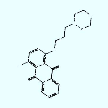 O=C1c2ccccc2C(=O)c2c(OCCCN3CCOCC3)ccc(O)c21